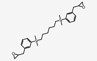 C[Si](C)(CCCCCC[Si](C)(C)c1cccc(CC2CO2)c1)c1cccc(CC2CO2)c1